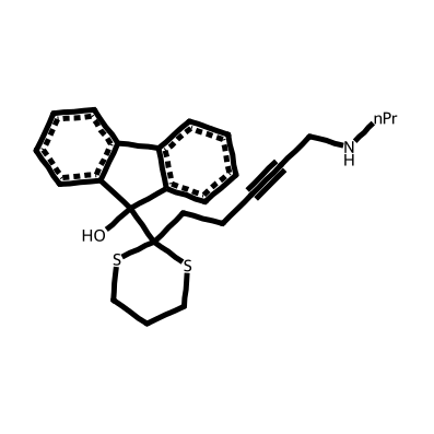 CCCNCC#CCCC1(C2(O)c3ccccc3-c3ccccc32)SCCCS1